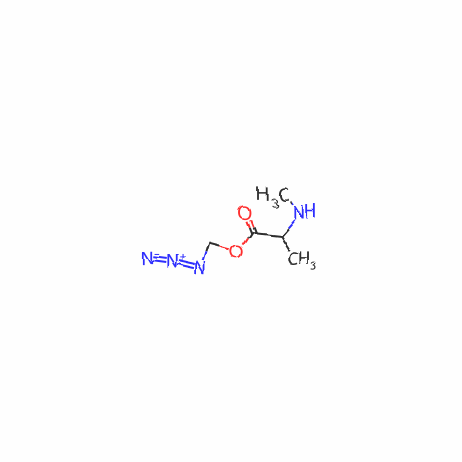 CNC(C)C(=O)OCN=[N+]=[N-]